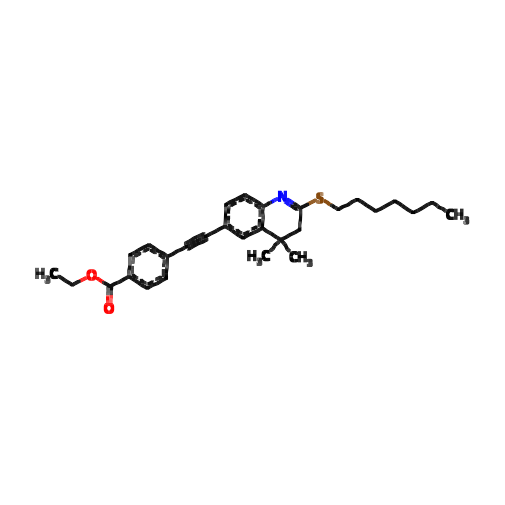 CCCCCCCSC1=Nc2ccc(C#Cc3ccc(C(=O)OCC)cc3)cc2C(C)(C)C1